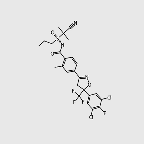 CCCS(=O)(=NC(=O)c1ccc(C2=NOC(c3cc(Cl)c(F)c(Cl)c3)(C(F)(F)F)C2)cc1C)C(C)(C)C#N